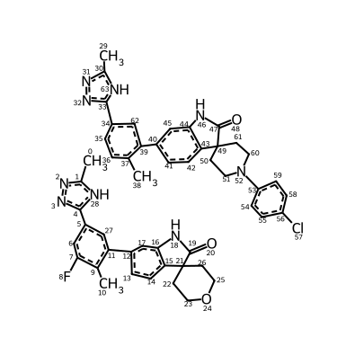 Cc1nnc(-c2cc(F)c(C)c(-c3ccc4c(c3)NC(=O)C43CCOCC3)c2)[nH]1.Cc1nnc(-c2ccc(C)c(-c3ccc4c(c3)NC(=O)C43CCN(c4ccc(Cl)cc4)CC3)c2)[nH]1